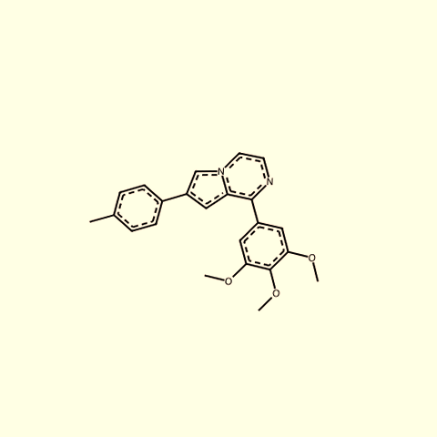 COc1cc(-c2nccn3cc(-c4ccc(C)cc4)cc23)cc(OC)c1OC